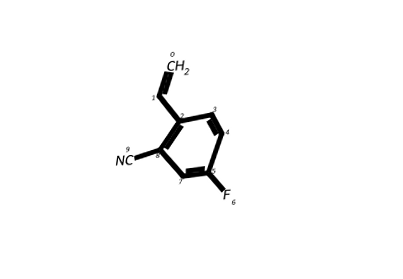 C=Cc1ccc(F)cc1C#N